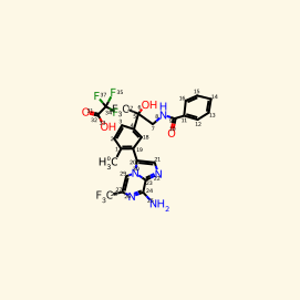 Cc1ccc(C(O)(CNC(=O)c2ccccc2)C(F)(F)F)cc1-c1cnc2c(N)nc(C(F)(F)F)cn12.O=C(O)C(F)(F)F